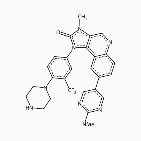 CNc1ncc(-c2ccc3ncc4c(c3c2)n(-c2ccc(N3CCNCC3)c(C(F)(F)F)c2)c(=O)n4C)cn1